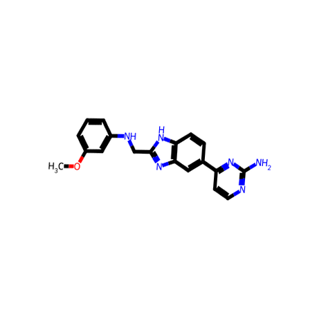 COc1cccc(NCc2nc3cc(-c4ccnc(N)n4)ccc3[nH]2)c1